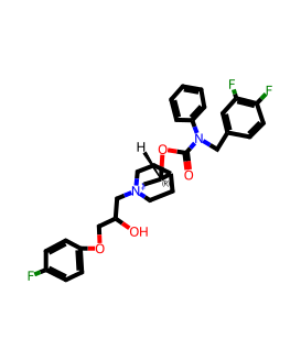 O=C(O[C@H]1C[N+]2(CC(O)COc3ccc(F)cc3)CCC1CC2)N(Cc1ccc(F)c(F)c1)c1ccccc1